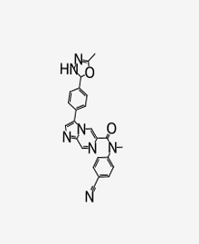 CC1=NNC(c2ccc(-c3cnc4cnc(C(=O)N(C)c5ccc(C#N)cc5)cn34)cc2)O1